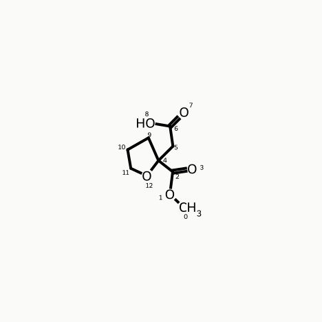 COC(=O)C1(CC(=O)O)CCCO1